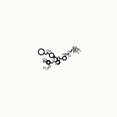 COc1ccc(CNc2nccc3c2c(C2C4CCC(C(C)CC5CCCCCCCC5)CCC42)nn3[C@@H]2CCC[C@@H](NC(=O)OCC[Si](C)(C)C)C2)c(OC)c1